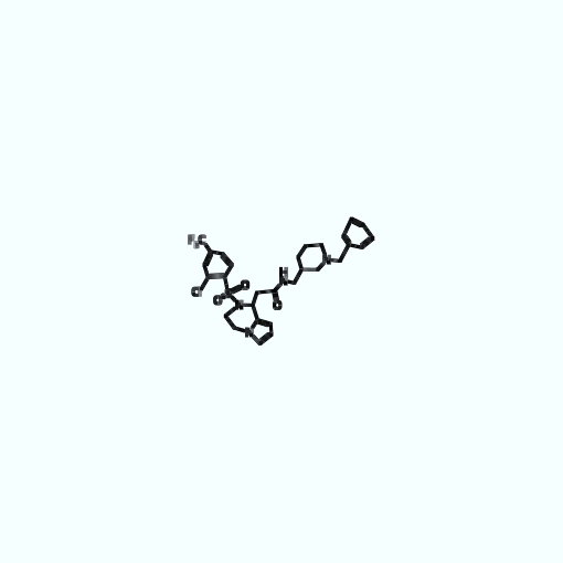 O=C(CC1c2cccn2CCN1S(=O)(=O)c1ccc(C(F)(F)F)cc1Cl)NCC1CCCN(Cc2ccccc2)C1